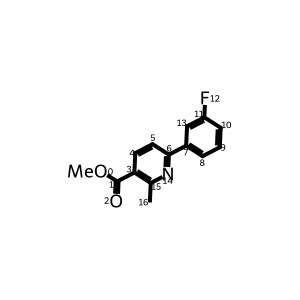 COC(=O)c1ccc(-c2cccc(F)c2)nc1C